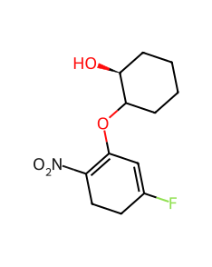 O=[N+]([O-])C1=C(OC2CCCC[C@@H]2O)C=C(F)CC1